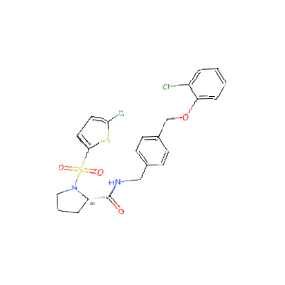 O=C(NCc1ccc(COc2ccccc2Cl)cc1)[C@@H]1CCCN1S(=O)(=O)c1ccc(Cl)s1